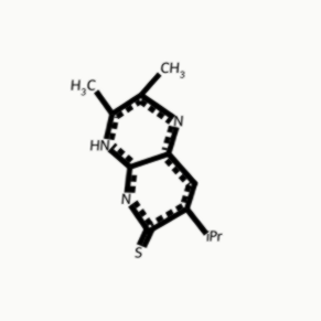 Cc1nc2cc(C(C)C)c(=S)nc-2[nH]c1C